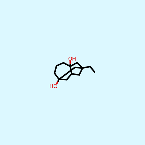 CCC12CC3CC(O)(CCCC3(O)C1)C2